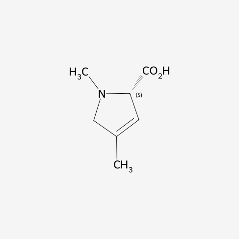 CC1=C[C@@H](C(=O)O)N(C)C1